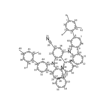 Cc1cc(C)c(-c2ccc3c4ccccc4n(-c4cc(C#N)cc(-n5c6ccccc6c6ccc(-c7c(C)cc(C)cc7C)cc65)c4-c4cccc(-c5ccccc5)n4)c3c2)c(C)c1